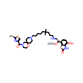 CC(C)c1nc(C(=O)N2CCOC3(CCN(CCCCCC(C)(C)CCCNC[C@H](OC=O)c4ccc(O)c5[nH]c(=O)sc45)CC3)C2)cs1